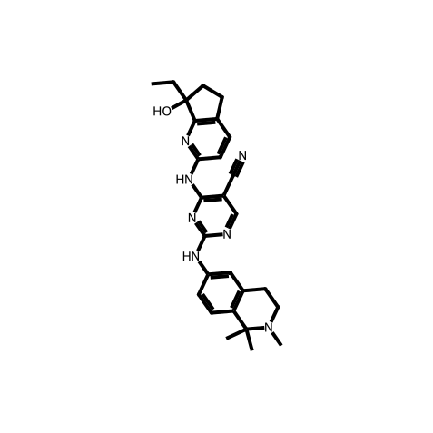 CCC1(O)CCc2ccc(Nc3nc(Nc4ccc5c(c4)CCN(C)C5(C)C)ncc3C#N)nc21